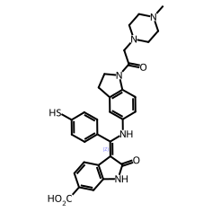 CN1CCN(CC(=O)N2CCc3cc(N/C(=C4\C(=O)Nc5cc(C(=O)O)ccc54)c4ccc(S)cc4)ccc32)CC1